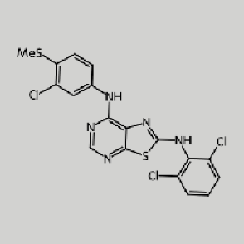 CSc1ccc(Nc2ncnc3sc(Nc4c(Cl)cccc4Cl)nc23)cc1Cl